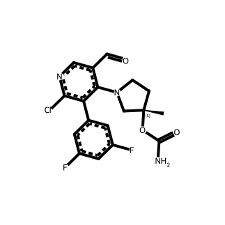 C[C@]1(OC(N)=O)CCN(c2c(C=O)cnc(Cl)c2-c2cc(F)cc(F)c2)C1